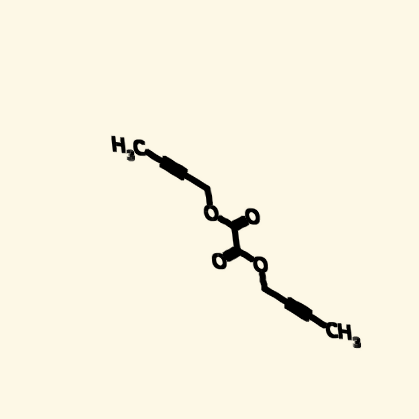 CC#CCOC(=O)C(=O)OCC#CC